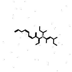 C=CC/C=C\C=C/C(=C)/C(=C\C)N(/C(C)=C/C(C)CC)C(C)CC